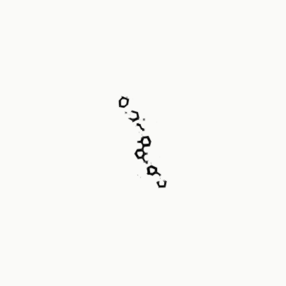 Cc1c(-c2nc3cc(CN4CC[C@@H](O)C4)cc(C#N)c3o2)cccc1-c1cccc(NC(=O)c2nc3c(n2C)CCN(C[C@H]2CC[C@H](C(=O)O)CC2)C3)c1Cl